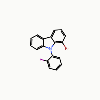 Brc1cccc2c3ccccc3n(-c3ccccc3I)c12